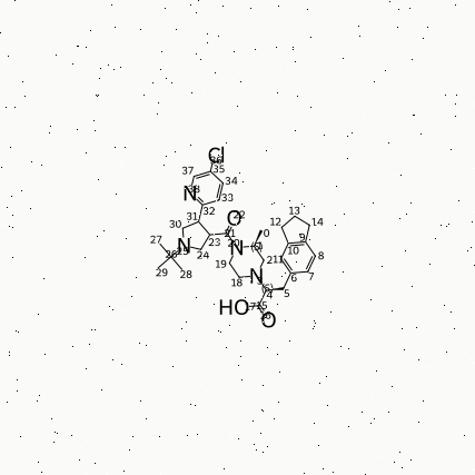 C[C@H]1CN([C@@H](Cc2ccc3c(c2)CCC3)C(=O)O)CCN1C(=O)C1CN(C(C)(C)C)CC1c1ccc(Cl)cn1